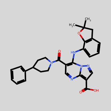 CC1(C)Cc2cccc(Nc3c(C(=O)N4CCC(c5ccccc5)CC4)cnc4c(C(=O)O)cnn34)c2O1